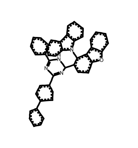 c1ccc(C2=NC(c3ccc(-c4ccccc4)cc3)=NC(c3ccc4oc5ccccc5c4c3-n3c4ccccc4c4ccccc43)N2)cc1